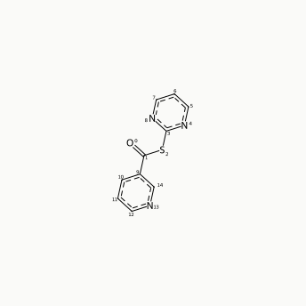 O=C(Sc1ncccn1)c1cccnc1